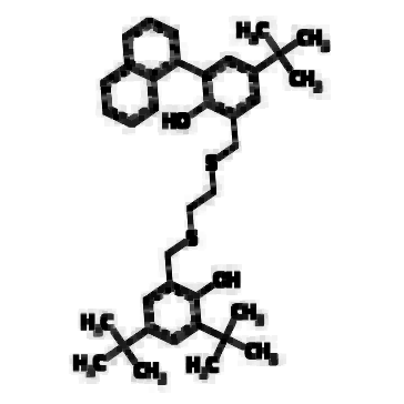 CC(C)(C)c1cc(CSCCSCc2cc(C(C)(C)C)cc(C(C)(C)C)c2O)c(O)c(-c2cccc3ccccc23)c1